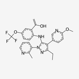 C=C(O)c1cc(OC(F)(F)F)ccc1Nc1c(-c2ccc(OC)nc2)c(CC)nn1-c1cccnc1C